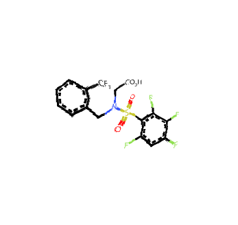 O=C(O)CN(Cc1ccccc1C(F)(F)F)S(=O)(=O)c1c(F)cc(F)c(F)c1F